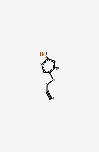 C#CCCc1ccc(Br)cc1